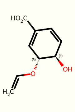 C=CO[C@@H]1C=C(C(=O)O)C=C[C@H]1O